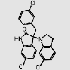 O=C1Nc2cc(Cl)ccc2C1(Cc1cccc(Cl)c1)N1CCc2ccc(Cl)cc21